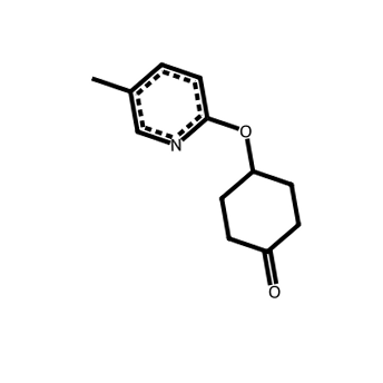 Cc1ccc(OC2CCC(=O)CC2)nc1